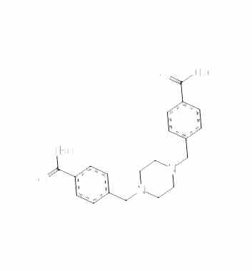 CC(C)(C)C(=O)c1ccc(CN2CCN(Cc3ccc(C(=O)C(C)(C)C)cc3)CC2)cc1